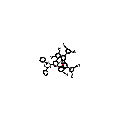 N#Cc1cc(C#N)cc(-c2ccc3c(c2)c2cc(-c4cc(C#N)cc(C#N)c4)ccc2n3-c2c(-c3ccc(C#N)cc3C#N)cc(-c3nc(-c4ccccc4)nc(-c4ccccc4)n3)cc2-c2ccc(C#N)cc2C#N)c1